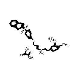 COc1ccc(CCN(C)CCCOc2ccc(S(=O)(=O)C3=Cc4ccccc4C3)cc2)cc1OC.O=C(O)C(=O)O